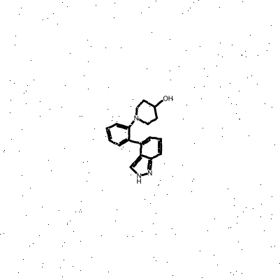 OC1CCN(c2ccccc2-c2cccc3n[nH]cc23)CC1